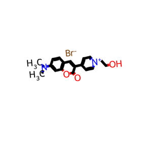 CN(C)c1ccc2cc(-c3cc[n+](CCO)cc3)c(=O)oc2c1.[Br-]